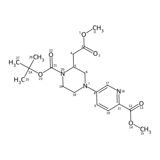 COC(=O)CC1CN(c2ccc(C(=O)OC)nc2)CCN1C(=O)OC(C)(C)C